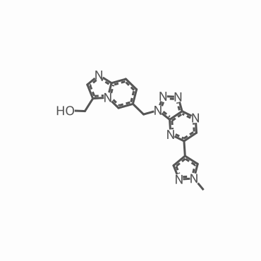 Cn1cc(-c2cnc3nnn(Cc4ccc5ncc(CO)n5c4)c3n2)cn1